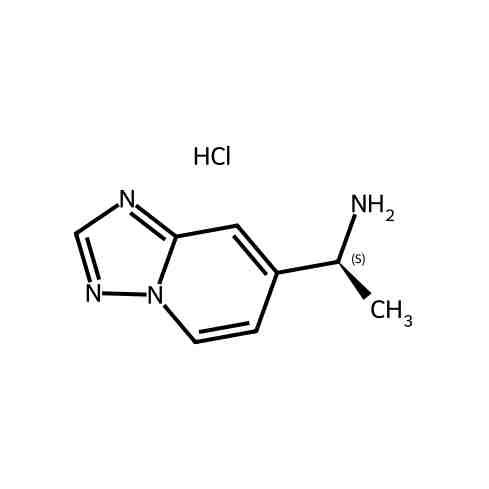 C[C@H](N)c1ccn2ncnc2c1.Cl